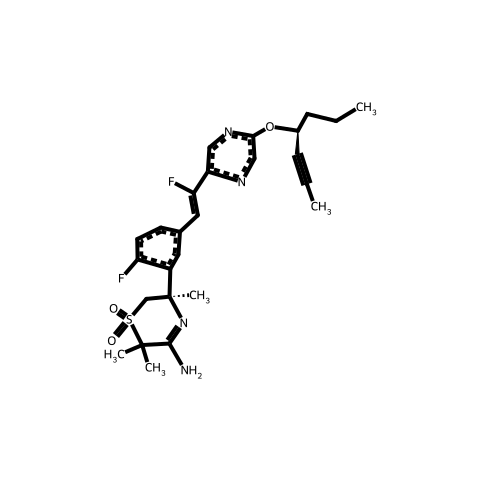 CC#C[C@H](CCC)Oc1cnc(/C(F)=C/c2ccc(F)c([C@]3(C)CS(=O)(=O)C(C)(C)C(N)=N3)c2)cn1